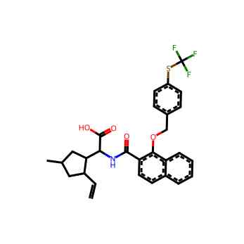 C=CC1CC(C)CC1C(NC(=O)c1ccc2ccccc2c1OCc1ccc(SC(F)(F)F)cc1)C(=O)O